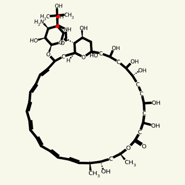 C[C@H]1C[C@H](O)[C@@H](C)/C=C/C=C/C=C/C=C/C=C/C=C/C=C/C(O[C@@H]2OC[C@@H](O)[C@H](N)[C@@H]2O)C[C@@H]2OC(O)(CC(O)CC(O)[C@H](O)CCC(O)CC(O)CC(=O)O1)C[C@H](O)[C@H]2C(=O)NCC(C)(C)O